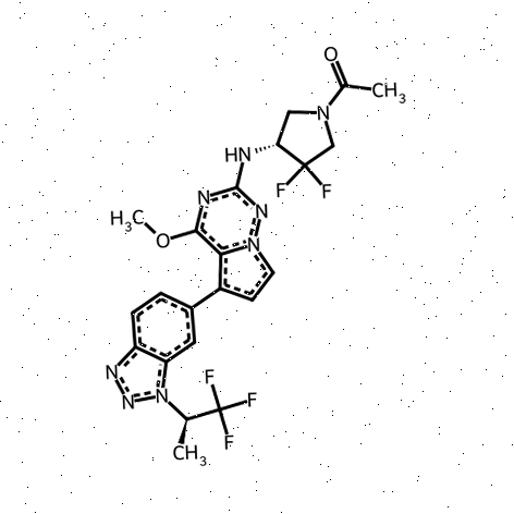 COc1nc(N[C@@H]2CN(C(C)=O)CC2(F)F)nn2ccc(-c3ccc4nnn([C@H](C)C(F)(F)F)c4c3)c12